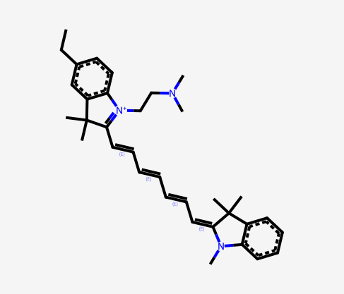 CCc1ccc2c(c1)C(C)(C)C(/C=C/C=C/C=C/C=C1/N(C)c3ccccc3C1(C)C)=[N+]2CCN(C)C